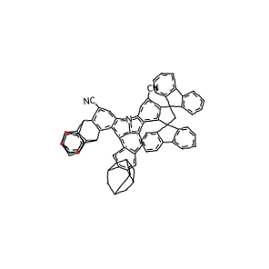 N#Cc1cc2c(c3c1C1c4ccccc4C3c3ccccc31)c1c3cc4c(cc3cc3c5c6c(c(C#N)cc5n2c31)C1(CC62c3ccccc3-c3ccccc32)c2ccccc2-c2ccccc21)C1CC2CC(C1)CC4C2